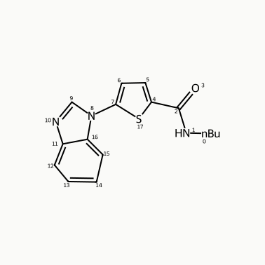 CCCCNC(=O)c1ccc(-n2cnc3ccccc32)s1